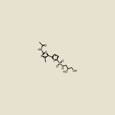 CC(=O)Nc1nc(C)c(-c2ccc(S(=O)(=O)NCC(O)CO)s2)s1